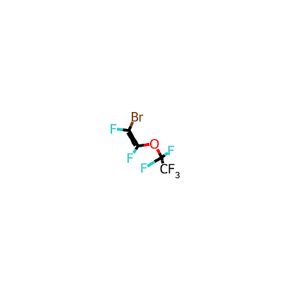 FC(Br)=C(F)OC(F)(F)C(F)(F)F